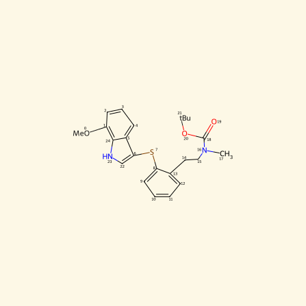 COc1cccc2c(Sc3ccccc3CCN(C)C(=O)OC(C)(C)C)c[nH]c12